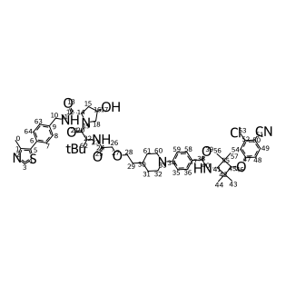 Cc1ncsc1-c1ccc(CNC(=O)[C@@H]2C[C@@H](O)CN2C(=O)C(NC(=O)COCCC2CCN(c3ccc(C(=O)N[C@H]4C(C)(C)[C@H](Oc5ccc(C#N)c(Cl)c5)C4(C)C)cc3)CC2)C(C)(C)C)cc1